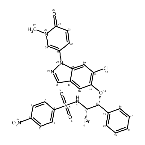 CC(C)[C@H](NS(=O)(=O)c1ccc([N+](=O)[O-])cc1)[C@H](Oc1cc2cnn(-c3ccc(=O)n(C)c3)c2cc1Cl)c1ccccc1